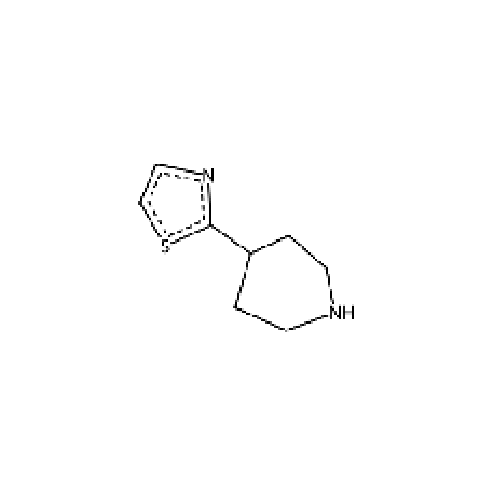 [c]1csc(C2CCNCC2)n1